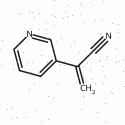 C=C(C#N)c1cccnc1